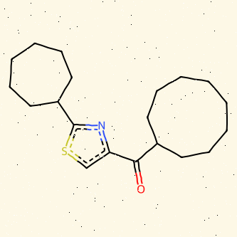 O=C(c1csc(C2CCCCCC2)n1)C1CCCCCCCC1